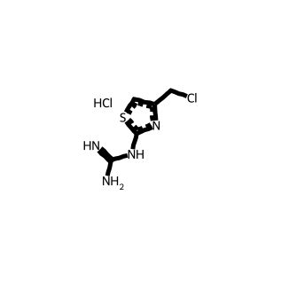 Cl.N=C(N)Nc1nc(CCl)cs1